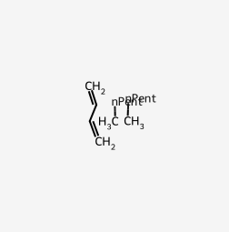 C=CC=C.CCCCCC.CCCCCC